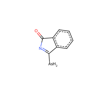 O=C1N=C([AsH2])c2ccccc21